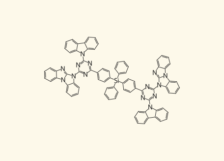 c1ccc([Si](c2ccccc2)(c2ccc(-c3nc(-n4c5ccccc5c5ccccc54)nc(-n4c5ccccc5n5c6ccccc6nc45)n3)cc2)c2ccc(-c3nc(-n4c5ccccc5c5ccccc54)nc(-n4c5ccccc5n5c6ccccc6nc45)n3)cc2)cc1